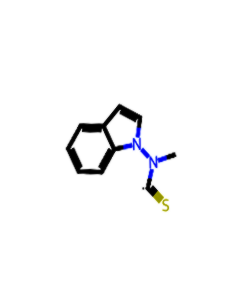 CN([C]=S)n1ccc2ccccc21